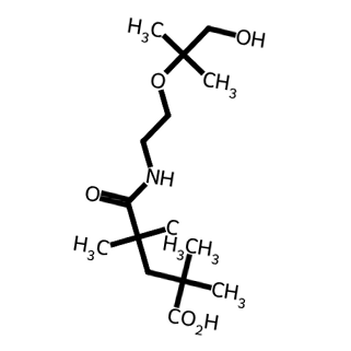 CC(C)(CO)OCCNC(=O)C(C)(C)CC(C)(C)C(=O)O